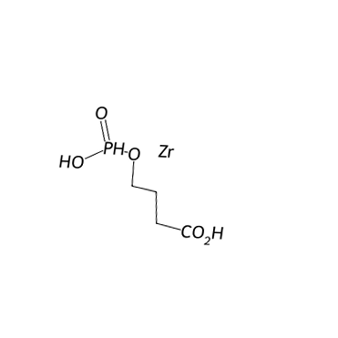 O=C(O)CCCO[PH](=O)O.[Zr]